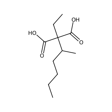 CCCCC(C)C(CC)(C(=O)O)C(=O)O